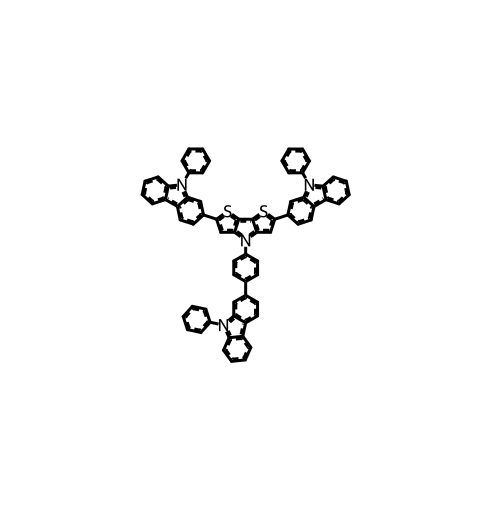 c1ccc(-n2c3ccccc3c3ccc(-c4ccc(-n5c6cc(-c7ccc8c9ccccc9n(-c9ccccc9)c8c7)sc6c6sc(-c7ccc8c9ccccc9n(-c9ccccc9)c8c7)cc65)cc4)cc32)cc1